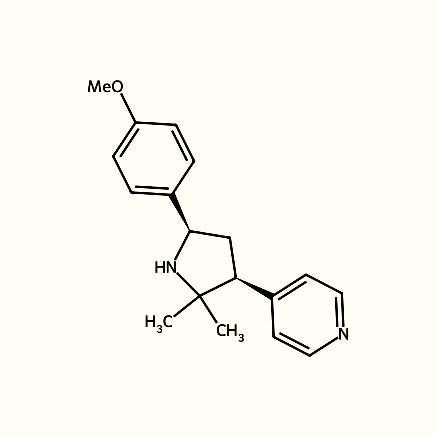 COc1ccc([C@H]2C[C@@H](c3ccncc3)C(C)(C)N2)cc1